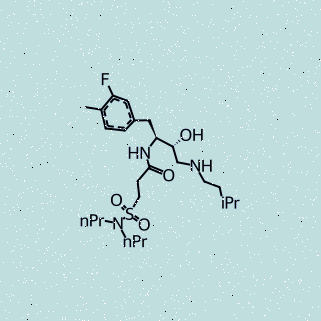 CCCN(CCC)S(=O)(=O)CCC(=O)N[C@@H](Cc1ccc(C)c(F)c1)[C@H](O)CNCCC(C)C